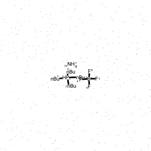 CCCC[PH](CCCC)(CCCC)CCCC.F[B-](F)(F)F.[NH4+]